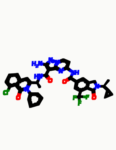 C[C@H](NC(=O)c1c(N)nn2ccc(NC(=O)c3cc4c(c(C(F)(F)F)c3)C(=O)N([C@@H](C)C3CC3)C4)nc12)c1cc2cccc(Cl)c2c(=O)n1-c1ccccc1